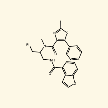 Cc1nc(C(=O)N(C)C(CNC(=O)c2cccc3occc23)CC(C)C)c(-c2ccccc2)s1